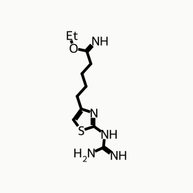 CCOC(=N)CCCCc1csc(NC(=N)N)n1